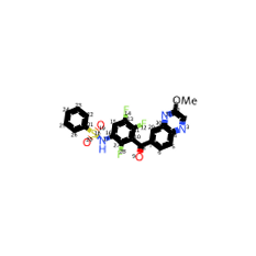 COc1cnc2ccc(C(=O)c3c(F)c(F)cc(NS(=O)(=O)c4ccccc4)c3F)cc2n1